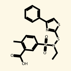 CCN(Sc1nc(-c2ccccc2)cs1)S(=O)(=O)c1ccc(C)c(C(=O)O)c1